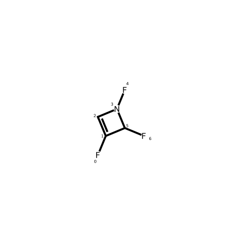 FC1=[C]N(F)C1F